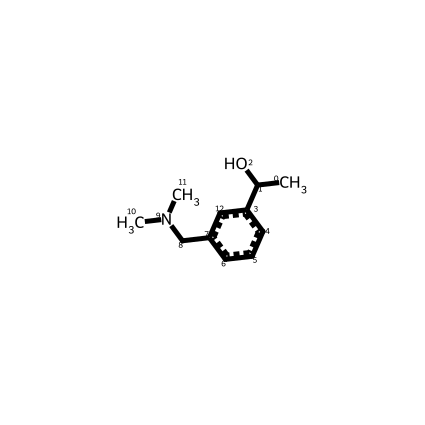 CC(O)c1cccc(CN(C)C)c1